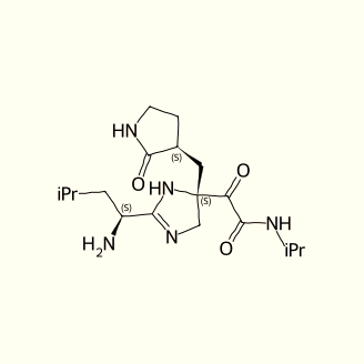 CC(C)C[C@H](N)C1=NC[C@@](C[C@@H]2CCNC2=O)(C(=O)C(=O)NC(C)C)N1